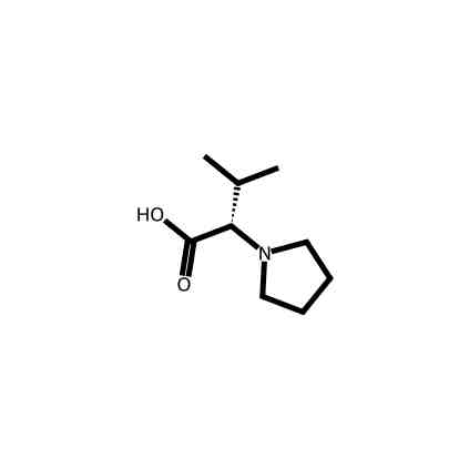 CC(C)[C@@H](C(=O)O)N1CCCC1